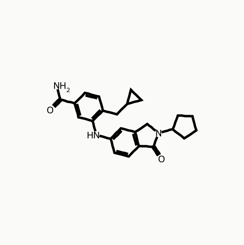 NC(=O)c1ccc(CC2CC2)c(Nc2ccc3c(c2)CN(C2CCCC2)C3=O)c1